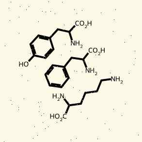 NC(Cc1ccc(O)cc1)C(=O)O.NC(Cc1ccccc1)C(=O)O.NCCCCC(N)C(=O)O